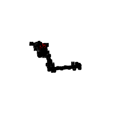 COc1c(C)cc2c(c1O)[C@H]1C3[C@@H]4SC[C@]5(N[C@H](CNC(=O)OCc6ccc(NC(=O)[C@H](C)NC(=O)[C@@H](NC(=O)CCOCCOCCOCCOCCNC(=O)CCN7C(=O)C=CC7=O)C(C)C)cc6)Cc6c5[nH]c5ccccc65)C(=O)OC[C@@H](c5c6c(c(C)c(OC(C)=O)c54)OCO6)N3C(C#N)(C2)CN1C